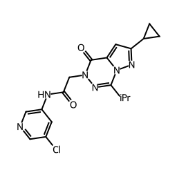 CC(C)c1nn(CC(=O)Nc2cncc(Cl)c2)c(=O)c2cc(C3CC3)nn12